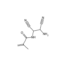 C=C(C)C(=O)NC(C#N)C(N)C#N